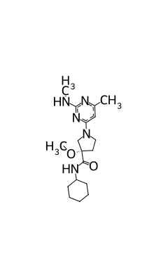 CNc1nc(C)cc(N2CC[C@@](OC)(C(=O)NC3CCCCC3)C2)n1